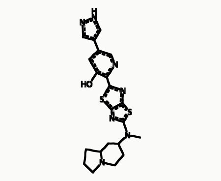 CN(c1nc2sc(-c3ncc(-c4cn[nH]c4)cc3O)nc2s1)C1CCN2CCCC2C1